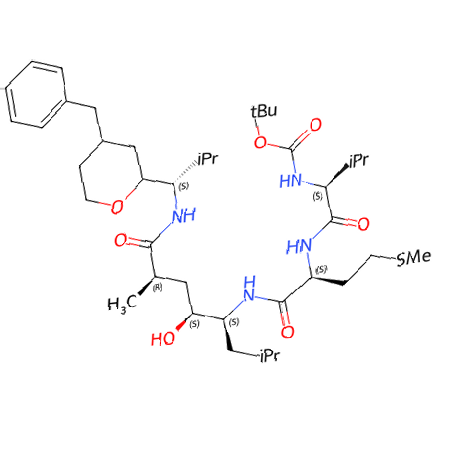 CSCC[C@H](NC(=O)[C@@H](NC(=O)OC(C)(C)C)C(C)C)C(=O)N[C@@H](CC(C)C)[C@@H](O)C[C@@H](C)C(=O)N[C@@H](C(C)C)C1CC(Cc2ccccc2)CCO1